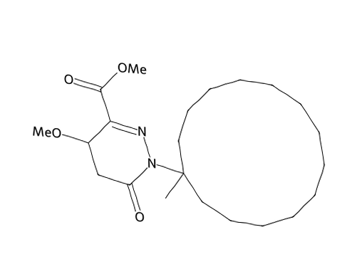 COC(=O)C1=NN(C2(C)CCCCCCCCCCCCC2)C(=O)CC1OC